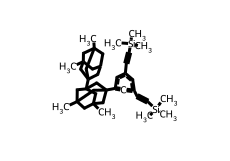 CC12CC3CC(C)(C1)CC(C14CC5(C)CC(C)(CC(c6cc(C#C[Si](C)(C)C)cc(C#C[Si](C)(C)C)c6)(C5)C1)C4)(C3)C2